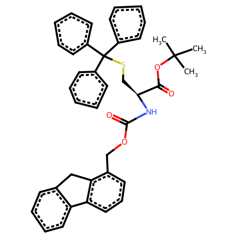 CC(C)(C)OC(=O)[C@H](CSC(c1ccccc1)(c1ccccc1)c1ccccc1)NC(=O)OCc1cccc2c1Cc1ccccc1-2